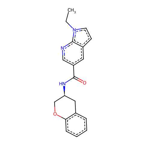 CCn1ccc2cc(C(=O)N[C@@H]3COc4ccccc4C3)cnc21